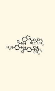 CC(C)(C)OC(=O)n1ccc2ccc(NC(=O)c3cc(N)ccc3NC(=O)c3ccc(C(C)(C)C)cc3)cc21